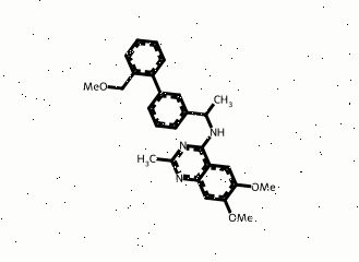 COCc1ccccc1-c1cccc(C(C)Nc2nc(C)nc3cc(OC)c(OC)cc23)c1